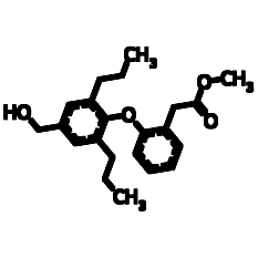 CCCc1cc(CO)cc(CCC)c1Oc1ccccc1CC(=O)OC